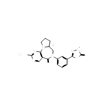 CSc1ncc2c(n1)N1CCC[C@H]1CN(c1cccc(-c3nn(C)c(=O)o3)c1)C2=O